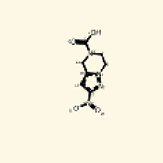 O=C(O)N1CCn2nc([N+](=O)[O-])cc2C1